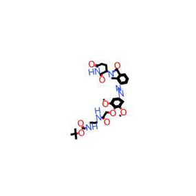 COc1cc(/N=N/c2cccc3c2CN(C2CCC(=O)NC2=O)C3=O)cc(OC)c1OCC(=O)NCCNC(=O)OC(C)(C)C